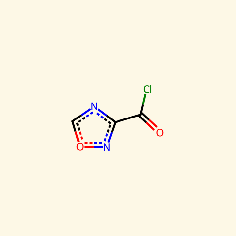 O=C(Cl)c1ncon1